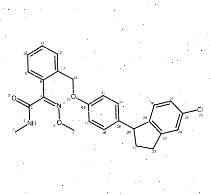 CNC(=O)C(=NOC)c1ccccc1COc1ccc(C2CCc3cc(Cl)ccc32)cc1